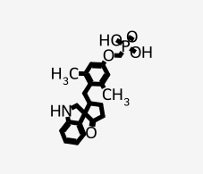 Cc1cc(OCP(=O)(O)O)cc(C)c1CC1CCC(=O)C12CNc1ccccc12